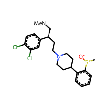 CNC[C@@H](CCN1CCC(c2ccccc2[S+](C)[O-])CC1)c1ccc(Cl)c(Cl)c1